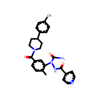 Cc1ccc(C(=O)N2CCC(c3ccc(C#N)cc3)CC2)cc1N(NC(=O)c1ccncc1)C(N)=O